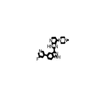 CN1CCN(c2ccnc3[nH]c(-c4n[nH]c5ccc(-c6cncc(F)c6)cc45)nc23)CC1